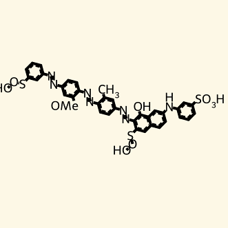 COc1cc(N=Nc2cccc(SOO)c2)ccc1N=Nc1ccc(N=Nc2c(SOO)cc3ccc(Nc4cccc(S(=O)(=O)O)c4)cc3c2O)cc1C